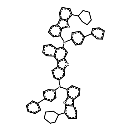 c1ccc(-c2ccc(N(c3ccc4c(c3)oc3cc(N(c5ccc(-c6ccccc6)cc5)c5cccc6c5oc5c(C7CCCCC7)cccc56)c5ccccc5c34)c3cccc4c3oc3c(C5CCCCC5)cccc34)cc2)cc1